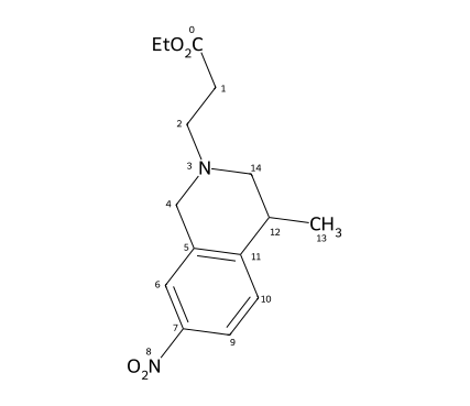 CCOC(=O)CCN1Cc2cc([N+](=O)[O-])ccc2C(C)C1